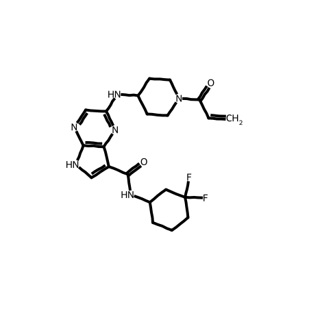 C=CC(=O)N1CCC(Nc2cnc3[nH]cc(C(=O)NC4CCCC(F)(F)C4)c3n2)CC1